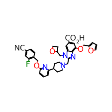 N#Cc1ccc(COc2cccc(C3CCN(Cc4nc5c(OCc6ccco6)cc(C(=O)O)cc5n4CC4CCO4)CC3)n2)c(F)c1